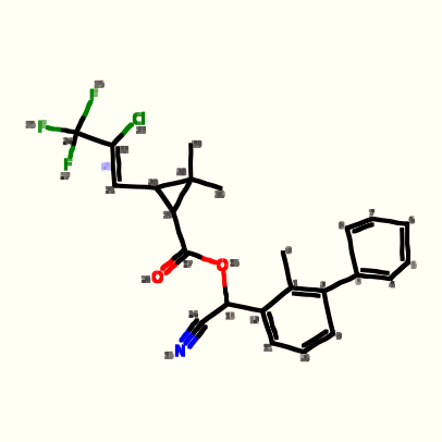 Cc1c(-c2ccccc2)cccc1C(C#N)OC(=O)C1C(/C=C(\Cl)C(F)(F)F)C1(C)C